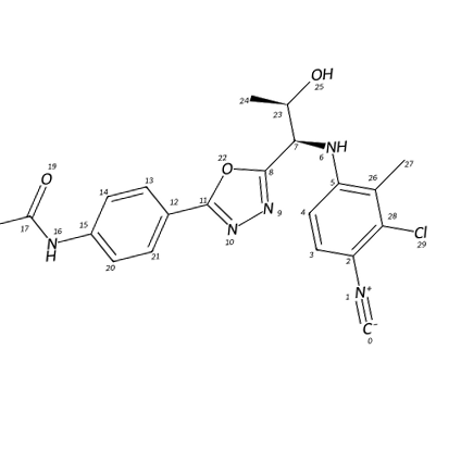 [C-]#[N+]c1ccc(N[C@@H](c2nnc(-c3ccc(NC(C)=O)cc3)o2)[C@@H](C)O)c(C)c1Cl